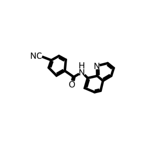 N#Cc1ccc(C(=O)Nc2cccc3cccnc23)cc1